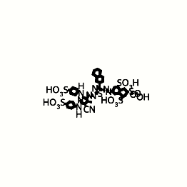 Cc1c(C#N)c(Nc2ccc(S(=O)(=O)O)cc2)nc(Nc2ccc(S(=O)(=O)O)cc2)c1N=Nc1nc(-c2ccc3ccccc3c2)c(/N=N/c2cc(S(=O)(=O)O)c3cc(SOOO)cc(S(=O)(=O)O)c3c2)s1